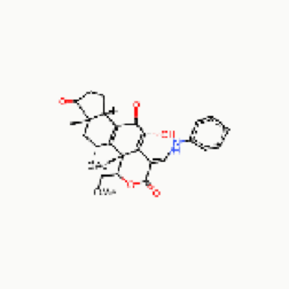 COC[C@@H]1OC(=O)/C(=C/Nc2ccccc2)C2=C(O)C(=O)C3=C([C@H](OC(C)=O)C[C@]4(C)C(=O)CC[C@H]34)[C@]21C